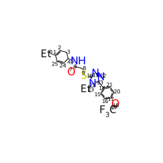 CCC1=CCC(NC(=O)CSc2nnc(-c3ccc(OC(F)(F)F)cc3)n2CC)C=C1